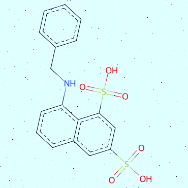 O=S(=O)(O)c1cc(S(=O)(=O)O)c2c(NCc3ccccc3)cccc2c1